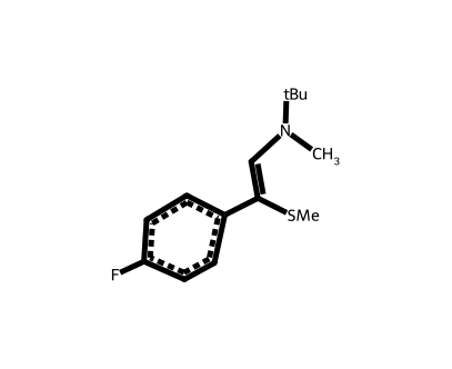 CS/C(=C\N(C)C(C)(C)C)c1ccc(F)cc1